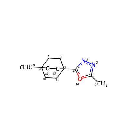 Cc1nnc(C23CCC(C=O)(CC2)CC3)o1